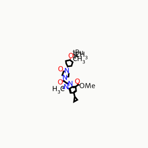 COC(=O)c1cc(C2CC2)cc2c1nc(C(=O)N1CCN([C@H]3CC[C@H](O[Si](C)(C)C(C)(C)C)CC3)C(=O)C1)n2C